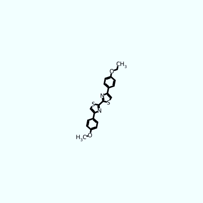 CCOc1ccc(-c2csc(-c3nc(-c4ccc(OC)cc4)cs3)n2)cc1